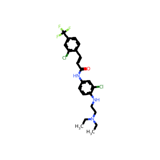 CCN(CC)CCNc1ccc(NC(=O)/C=C/c2ccc(C(F)(F)F)cc2Cl)cc1Cl